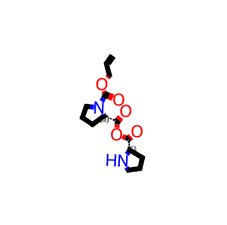 C=CCOC(=O)N1CCC[C@H]1C(=O)OC(=O)[C@@H]1CCCN1